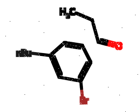 CCC=O.CCCCc1cccc(Br)c1